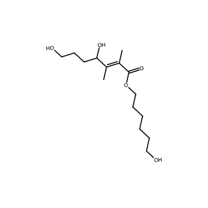 CC(C(=O)OCCCCCCO)=C(C)C(O)CCCO